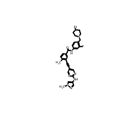 CCC1CCN(Cc2ccc(NC(=O)c3ccc(C)c(C#Cc4cnc(Nc5cnn(C)c5)nc4)c3)cc2F)CC1